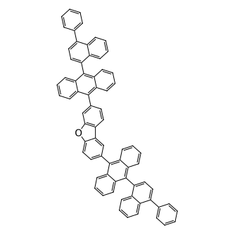 c1ccc(-c2ccc(-c3c4ccccc4c(-c4ccc5c(c4)oc4ccc(-c6c7ccccc7c(-c7ccc(-c8ccccc8)c8ccccc78)c7ccccc67)cc45)c4ccccc34)c3ccccc23)cc1